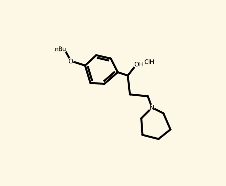 CCCCOc1ccc(C(O)CCN2CCCCC2)cc1.Cl